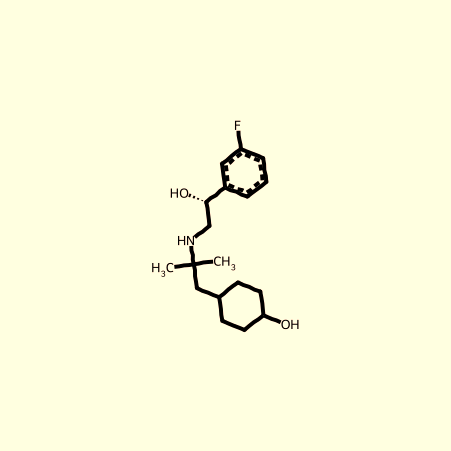 CC(C)(CC1CCC(O)CC1)NC[C@H](O)c1cccc(F)c1